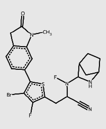 CN1C(=O)Cc2ccc(-c3sc(CC(C#N)N(F)C4NC5CCC4C5)c(F)c3Br)cc21